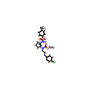 CC(C)(C)OC(=O)N(CCCc1ccc(Cl)cc1)[C@@H]1CCC[C@H]1NS(=O)(=O)c1ccc([N+](=O)[O-])cc1